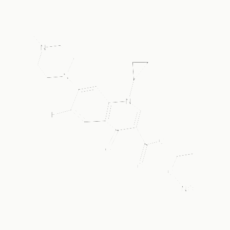 CC(OC(=O)c1cn(C2CC2)c2cc(N3CCN(C)CC3)c(F)cc2c1=O)O[N+](=O)[O-]